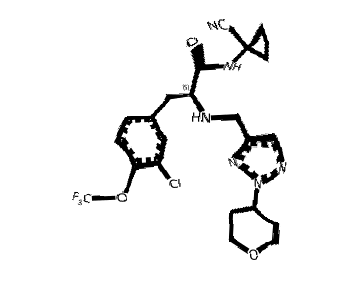 N#CC1(NC(=O)[C@H](Cc2ccc(OC(F)(F)F)c(Cl)c2)NCc2cnn(C3CCOCC3)n2)CC1